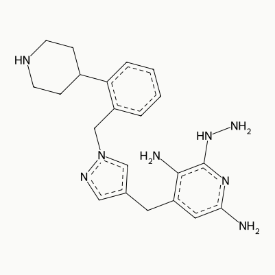 NNc1nc(N)cc(Cc2cnn(Cc3ccccc3C3CCNCC3)c2)c1N